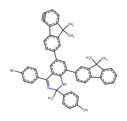 CC1(c2ccc(C#N)cc2)N=C(c2ccc(C#N)cc2)c2cc(-c3ccc4c(c3)C(C)(C)c3ccc#cc3-4)cc(-c3ccc4c(c3)C(C)(C)c3ccccc3-4)c2N1